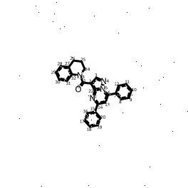 O=C(c1cnn2c(-c3ccccc3)cc(-c3ccccc3)nc12)N1CCCc2ccccc21